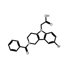 O=C(O)Cn1c2c(c3cc(Br)ccc31)CN(C(=O)c1ccccc1)CC2